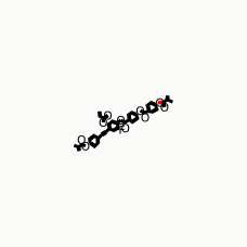 C=CC(=O)Oc1cc(OC(=O)c2ccc(OC(=O)c3ccc(OC(=O)C(=C)C)cc3)cc2)c(F)cc1C#Cc1ccc(OC(=O)C(=C)C)cc1